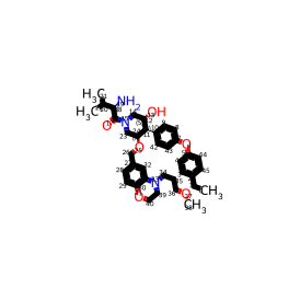 CCc1ccc(Oc2ccc([C@H]3[C@H](O)CN(C(=O)[C@@H](N)C(C)C)C[C@@H]3OCc3ccc4c(c3)N(CCCOC)CCO4)cc2)cc1